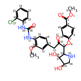 COC(=O)c1ccc(OC(C(=O)Cc2ccc(NC(=O)Nc3ccccc3Cl)c(OC)c2)C2NCC(O)C2O)cc1